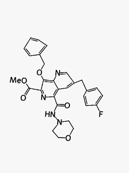 COC(=O)c1nc(C(=O)NN2CCOCC2)c2cc(Cc3ccc(F)cc3)cnc2c1OCc1ccccc1